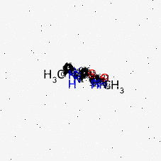 CCc1ccccc1Nc1ncc2cc(Oc3ccnc(C(=O)NC)c3)ccc2n1